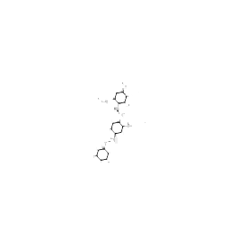 CC(=O)Nc1cc(NCc2ccccc2)ccc1/N=N/c1ccc([N+](=O)[O-])cc1C#N